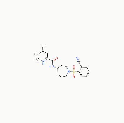 CN[C@@H](CC(C)C)C(=O)NC1CCCN(S(=O)(=O)c2ccccc2C#N)CC1